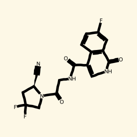 N#C[C@@H]1CC(F)(F)CN1C(=O)CNC(=O)c1c[nH]c(=O)c2cc(F)ccc12